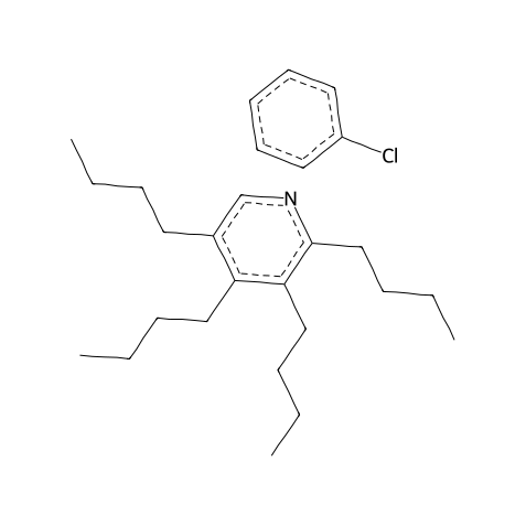 CCCCc1cnc(CCCC)c(CCCC)c1CCCC.Clc1ccccc1